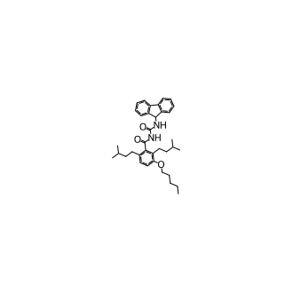 CCCCCOc1ccc(CCC(C)C)c(C(=O)NC(=O)NC2c3ccccc3-c3ccccc32)c1CCC(C)C